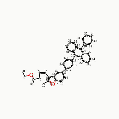 CCOC(C)C/C=C\c1c(C)oc2ccc(-c3ccc(-c4c5ccccc5c(-c5ccccc5)c5ccccc45)cc3)cc12